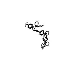 CCCCC(=O)N(CC#Cc1ccc(C(=O)N2CCN(C(=O)OC(C)(C)C)CC2)cc1)c1ccc(F)cc1